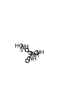 O=C(NC1(C#Cc2ccc(C(=S)NO)cc2)CCNCC1)c1cc2ccccc2[nH]1